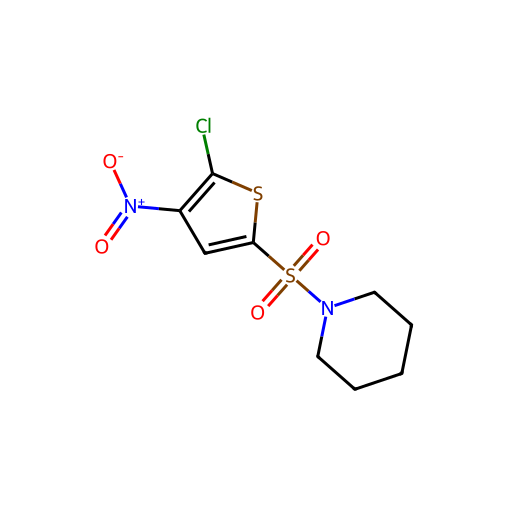 O=[N+]([O-])c1cc(S(=O)(=O)N2CCCCC2)sc1Cl